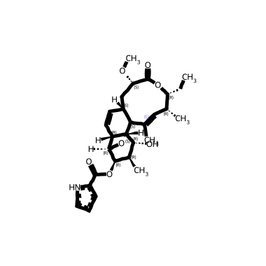 CC[C@H]1OC(=O)[C@@H](OC)C[C@H]2C=C[C@H]3[C@H]4O[C@]2(/C(C)=C/[C@H]1C)[C@@H]3[C@H](O)[C@@H](C)[C@H]4OC(=O)c1ccc[nH]1